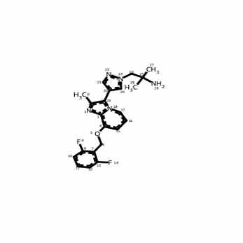 Cc1nc2c(OCc3c(F)cccc3F)cccn2c1-c1cnn(CC(C)(C)N)c1